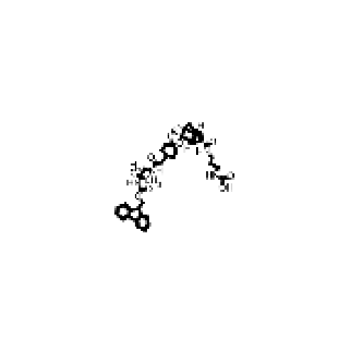 CC(C)(CNC(=O)CC1CCC2(CC1)OO[C@@]1(O2)[C@@H]2C[C@@H]3C[C@H]1C[C@@](C(=O)NCCCNC(=O)O)(C3)C2)NC(=O)OCC1c2ccccc2-c2ccccc21